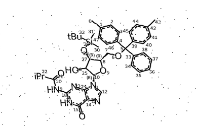 Cc1ccc(C(OC[C@H]2O[C@@H](n3cnc4c(=O)[nH]c(NC(=O)C(C)C)nc43)C(O)[C@H]2O[Si](C)(C)C(C)(C)C)(c2ccccc2)c2ccc(C)cc2)cc1